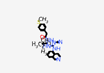 CSc1ccc(CC(=O)NC(N/C(=N/C#N)Nc2cccc3cnccc23)C(C)(C)C)cc1